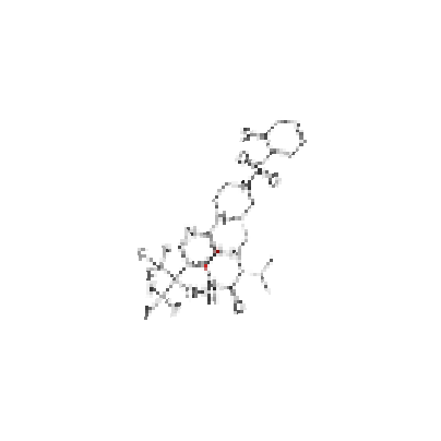 CC(C)[C@@H]1C(=O)NCCN1C[C@H]1CN(S(=O)(=O)C2=CC=CCC2=S)CCN1c1ncc(C(O)(C(F)(F)F)C(F)(F)F)cn1